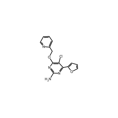 Nc1nc(OCc2ccccn2)c(Cl)c(-c2ccco2)n1